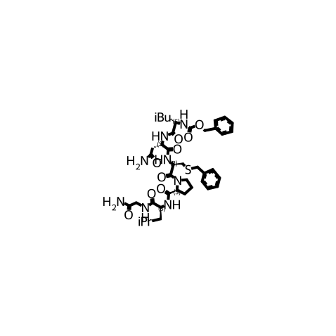 CCC(C)[C@H](NC(=O)OCc1ccccc1)C(=O)N[C@@H](CC(N)=O)C(=O)N[C@@H](CSCc1ccccc1)C(=O)N1CCC[C@H]1C(=O)N[C@@H](CC(C)C)C(=O)NCC(N)=O